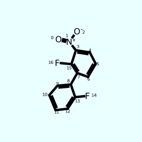 O=[N+]([O-])c1cccc(-c2ccccc2F)c1F